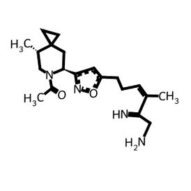 CC(=O)N1C[C@H](C)C2(CC2)C[C@H]1c1cc(CC/C=C(/C)C(=N)CN)on1